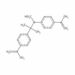 C=C(C)c1ccc(N(C(=O)O)C(C)(C)c2ccc(C(=C)C)cc2)cc1